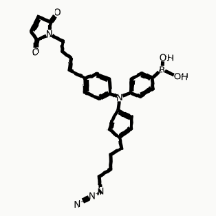 [N-]=[N+]=NCCCCc1ccc(N(c2ccc(CCCCN3C(=O)C=CC3=O)cc2)c2ccc(B(O)O)cc2)cc1